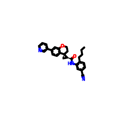 CCCCc1ccc(C#N)cc1NC(=O)[C@@H]1C[C@]12CCOc1cc(-c3cccnc3)ccc12